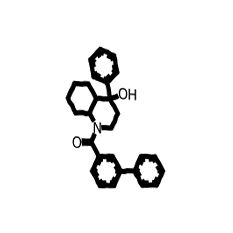 O=C(c1cccc(-c2ccccc2)c1)N1CCC(O)(c2ccccc2)C2CCCCC21